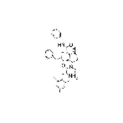 CCN(C(=O)C(N)Cc1c(C)cc(C)cc1C)C1CCNc2c(C(=O)NCc3ccccc3)cc(Cc3ccccc3)cc21